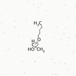 CCCCCOCCC(C)(C)O